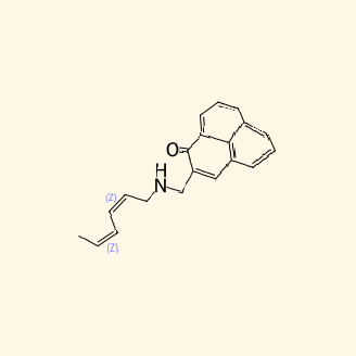 C/C=C\C=C/CNCC1=Cc2cccc3cccc(c23)C1=O